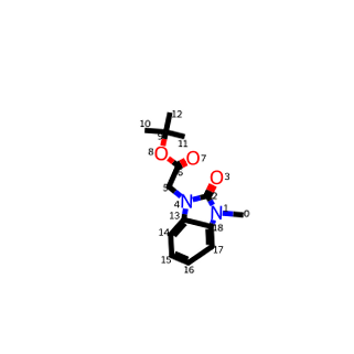 Cn1c(=O)n(CC(=O)OC(C)(C)C)c2ccccc21